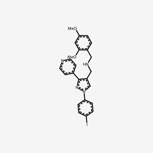 COc1ccc(CNCc2cn(-c3ccc(I)cc3)nc2-c2ccncc2)c(OC)c1